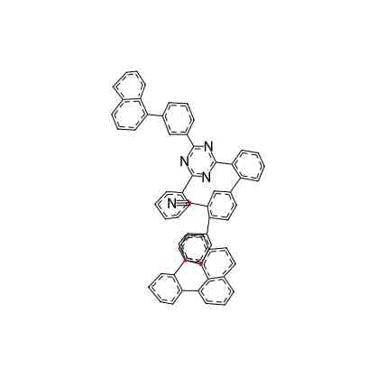 N#Cc1cc(-c2ccccc2-c2nc(-c3ccccc3)nc(-c3cccc(-c4cccc5ccccc45)c3)n2)ccc1-c1ccc(-c2ccccc2-c2cccc3ccc4ccccc4c23)cc1